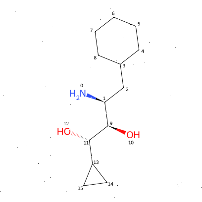 N[C@@H](CC1CCCCC1)[C@@H](O)[C@@H](O)C1CC1